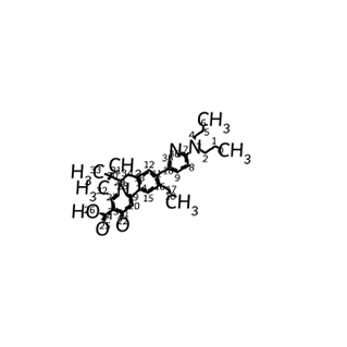 CCCN(CCC)c1ccc(-c2cc3c(cc2CC)-c2cc(=O)c(C(=O)O)cn2C(C(C)(C)C)C3)cn1